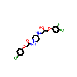 O=C(COc1ccc(Cl)cc1)NN1CCC(NCC(O)COc2ccc(Cl)c(F)c2)CC1